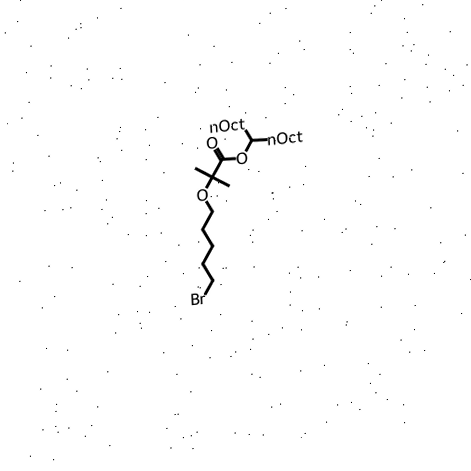 CCCCCCCCC(CCCCCCCC)OC(=O)C(C)(C)OCCCCCBr